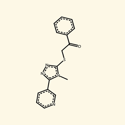 Cn1c(SCC(=O)c2ccccc2)nnc1-c1cccnc1